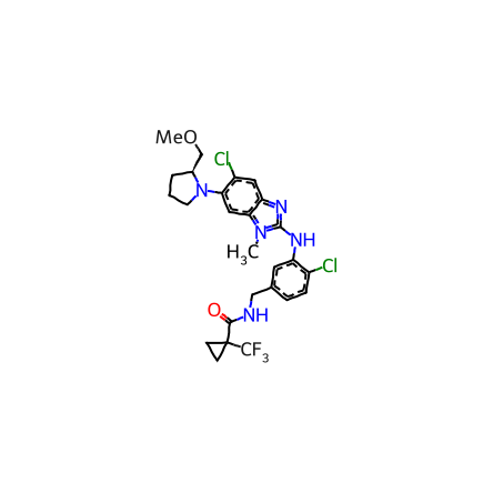 COC[C@@H]1CCCN1c1cc2c(cc1Cl)nc(Nc1cc(CNC(=O)C3(C(F)(F)F)CC3)ccc1Cl)n2C